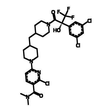 CN(C)C(=O)c1ccc(N2CCC(CC3CCN(C(=O)[C@](O)(c4cc(Cl)cc(Cl)c4)C(F)(F)F)CC3)CC2)nc1Cl